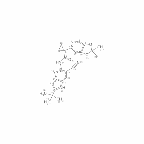 CC1(F)Oc2ccc(C3(C(=O)Nc4cc5cc(C(C)(C)C)[nH]c5cc4C#N)CC3)cc2O1